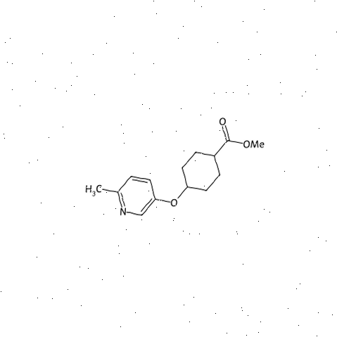 COC(=O)C1CCC(Oc2ccc(C)nc2)CC1